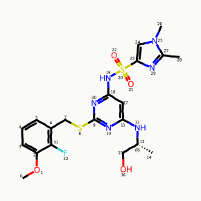 COc1cccc(CSc2nc(N[C@H](C)CO)cc(NS(=O)(=O)c3cn(C)c(C)n3)n2)c1F